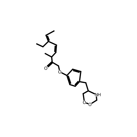 C/C=C(\C=C/C(C)C(=O)COc1ccc(CC2COOCN2)cc1)CC